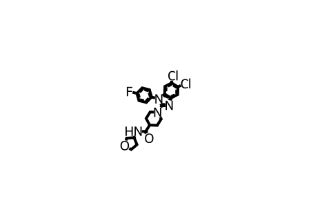 O=C(NC1CCOC1)C1CCN(c2nc3cc(Cl)c(Cl)cc3n2-c2ccc(F)cc2)CC1